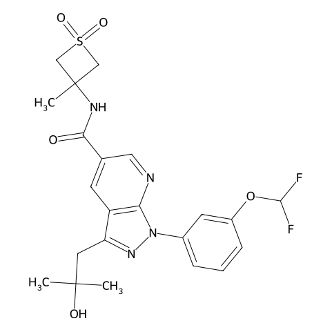 CC(C)(O)Cc1nn(-c2cccc(OC(F)F)c2)c2ncc(C(=O)NC3(C)CS(=O)(=O)C3)cc12